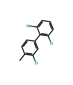 Cc1ccc(-c2c(Cl)cccc2Cl)cc1Cl